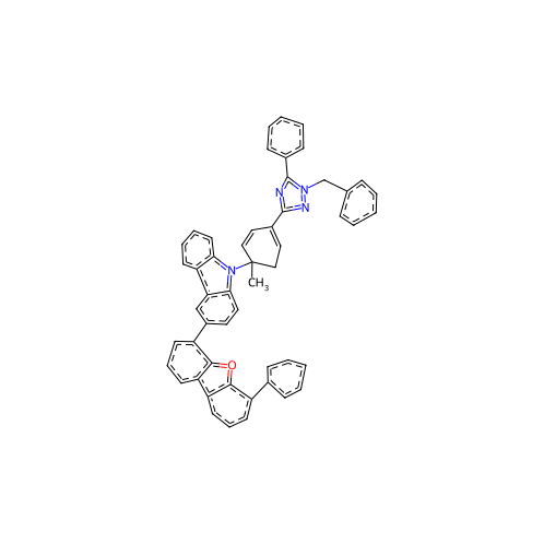 CC1(n2c3ccccc3c3cc(-c4cccc5c4oc4c(-c6ccccc6)cccc45)ccc32)C=CC(c2nc(-c3ccccc3)n(Cc3ccccc3)n2)=CC1